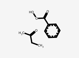 CCC(C)=O.O=C(OO)c1ccccc1